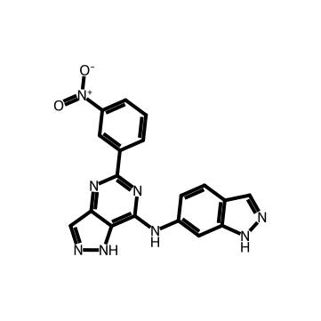 O=[N+]([O-])c1cccc(-c2nc(Nc3ccc4cn[nH]c4c3)c3[nH]ncc3n2)c1